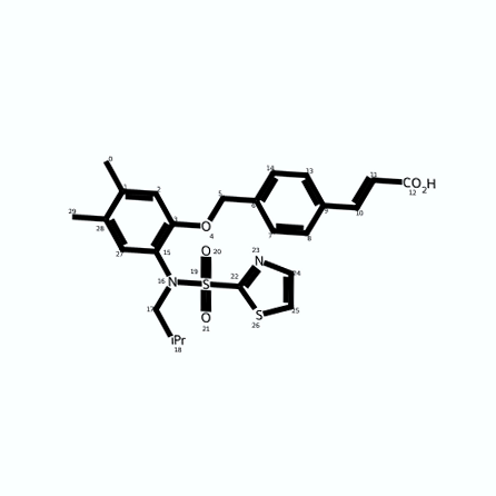 Cc1cc(OCc2ccc(/C=C/C(=O)O)cc2)c(N(CC(C)C)S(=O)(=O)c2nccs2)cc1C